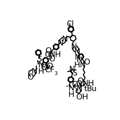 Cc1ncsc1-c1ccc([C@H](C)NC(=O)[C@@H]2C[C@@H](O)CN2C(=O)[C@@H](NC(=O)CCCCCNC(=O)c2ccc(N3CCN(C[C@]4(C)CCC(c5ccc(Cl)cc5)=C(CN5CCN(c6ccc(C(=O)NS(=O)(=O)c7ccc(N[C@H](CCN8CCCOCC8)CSc8ccccc8)c(S(=O)(=O)C(F)(F)F)c7)cc6)CC5)C4)CC3)nn2)C(C)(C)C)cc1